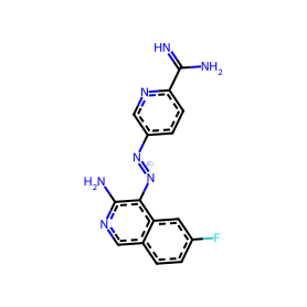 N=C(N)c1ccc(/N=N/c2c(N)ncc3ccc(F)cc23)cn1